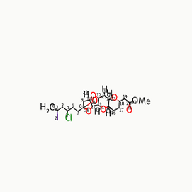 C=C(I)C[C@H](Cl)CC[C@@]12C[C@H]3OC4[C@@H](O[C@H]5CC[C@H](CC(=O)OC)O[C@@H]5[C@@H]4O1)C3O2